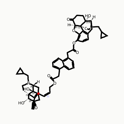 C#CC1=C(/C=C\COC(=O)Cc2cccc3c(CC(=O)Oc4ccc5c6c4O[C@H]4C(=O)CC[C@@]7(O)[C@@H](C5)N(CC5CC5)CC[C@]647)cccc23)C[C@H]2N(CC3CC3)CC[C@@]13[C@@H](O)C(=O)CC[C@@]23O